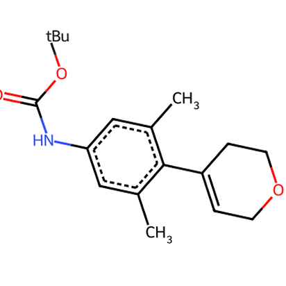 Cc1cc(NC(=O)OC(C)(C)C)cc(C)c1C1=CCOCC1